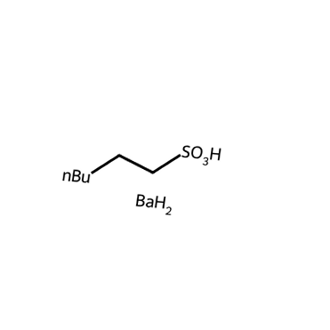 CCCCCCS(=O)(=O)O.[BaH2]